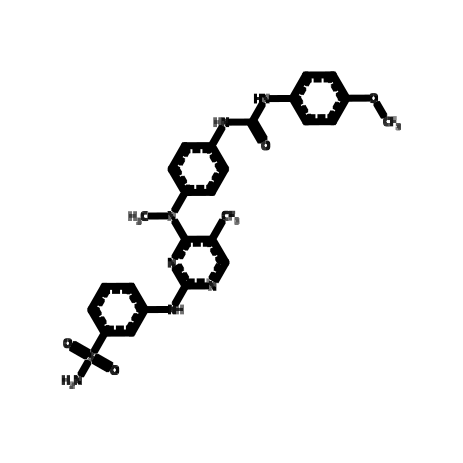 CN(c1ccc(NC(=O)Nc2ccc(OC(F)(F)F)cc2)cc1)c1nc(Nc2cccc(S(N)(=O)=O)c2)ncc1C(F)(F)F